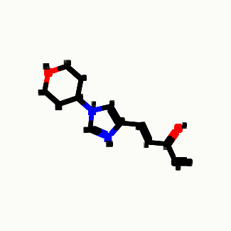 COC(=O)/C=C/c1cn(C2CCOCC2)cn1